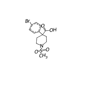 CS(=O)(=O)N1CCC(C(=O)O)(c2ccc(Br)cc2)CC1